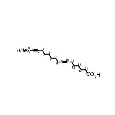 CCCCCCC#CCCCCCCC#CCCCCCC(=O)O